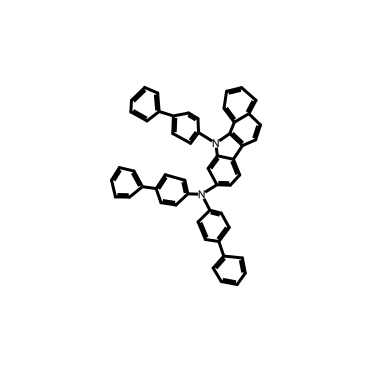 c1ccc(-c2ccc(N(c3ccc(-c4ccccc4)cc3)c3ccc4c5ccc6ccccc6c5n(-c5ccc(-c6ccccc6)cc5)c4c3)cc2)cc1